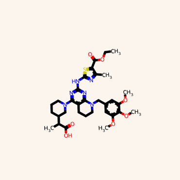 CCOC(=O)c1sc(Nc2nc3c(c(N4CCCC(C(C)C(=O)O)C4)n2)CCCN3Cc2cc(OC)c(OC)c(OC)c2)nc1C